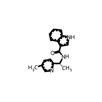 Cc1ccc([C@@H](C)NC(=O)c2c[nH]c3ccccc23)nc1